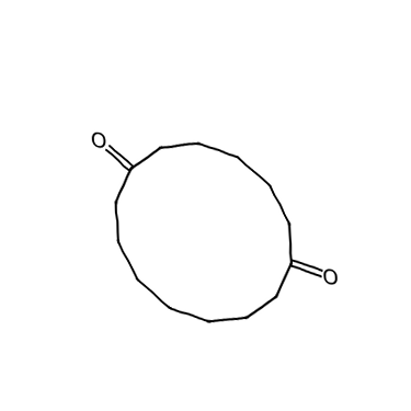 O=C1CCCCCCCC(=O)CCCCC1